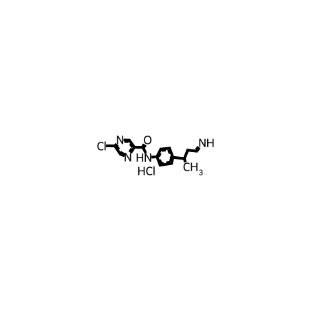 CC(CC=N)c1ccc(NC(=O)c2cnc(Cl)cn2)cc1.Cl